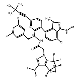 CCNc1nn(C)c2c(-c3ccc(C#CC(C)(C)O)nc3[C@H](Cc3cc(F)cc(F)c3)NC(=O)Cn3nc(C(F)F)c4c3C(F)(F)[C@@H]3C[C@H]43)ccc(Cl)c12